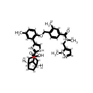 Cc1ccc(OCc2ccc(C(=O)N(C)Cc3ccnn3C)cc2C)c(-c2csc(N3C[C@H]4CC[C@@H](C3)C4C(=O)O)n2)c1